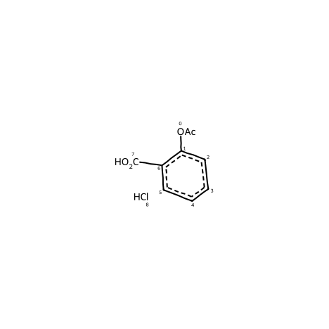 CC(=O)Oc1ccccc1C(=O)O.Cl